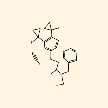 CC#N.CCN(Cc1ccccc1)C(C)CCc1ccc(C2(F)CC2)c(C2(F)CC2)c1